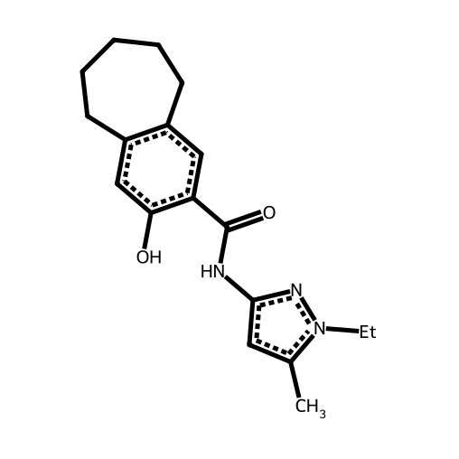 CCn1nc(NC(=O)c2cc3c(cc2O)CCCCC3)cc1C